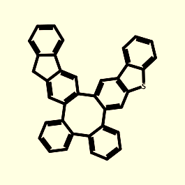 c1ccc2c(c1)Cc1cc3c(cc1-2)-c1cc2c(cc1-c1ccccc1-c1ccccc1-3)sc1ccccc12